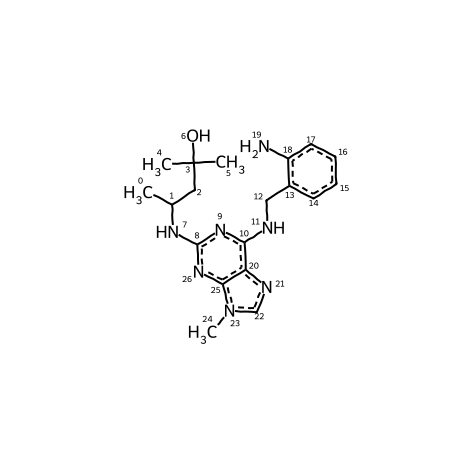 CC(CC(C)(C)O)Nc1nc(NCc2ccccc2N)c2ncn(C)c2n1